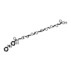 O=C(O)CCOCCOCCOCCOCCOCCOCCOCCOCCNC(=O)c1ccc(/N=N/c2ccccc2)cc1